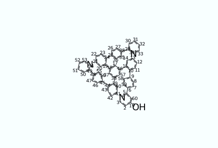 Oc1ccnc(-c2ccc(-c3ccccc3-c3cc(-c4ccccc4-c4ccc(-c5ccccn5)cc4)cc(-c4ccccc4-c4ccc(-c5ccccn5)cc4)c3)cc2)c1